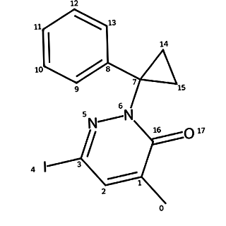 Cc1cc(I)nn(C2(c3ccccc3)CC2)c1=O